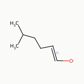 CC(C)CC/C=C/[O]